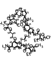 CCc1nc(C)oc1C(=O)/N=c1\sc2cc(C(N)=O)cnc2n1C/C=C/Cn1c(NC(=O)c2oc(C)nc2CC)nc2cc(C(N)=O)cc(OCCCOC(=O)[C@H](C)NC(=O)[C@H](CCC(=O)O)NC(=O)CN3C(=O)C=CC3=O)c21